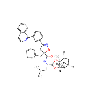 CC(C)C[C@H](NC(=O)C1(Cc2ccccc2)CC(c2cccc(-c3nccc4ccccc34)c2)=NO1)B1O[C@@H]2C[C@@H]3C[C@@H](C3(C)C)[C@]2(C)O1